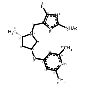 CC(=O)Nc1nc(F)c(CN2C[C@@H](Oc3cc(C)nc(C)c3)C[C@@H]2C)s1